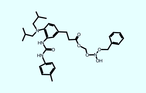 Cc1ccc(NC(=O)Nc2cc(CCC(=O)OCON(O)OCc3ccccc3)ccc2N(CC(C)C)CC(C)C)cc1